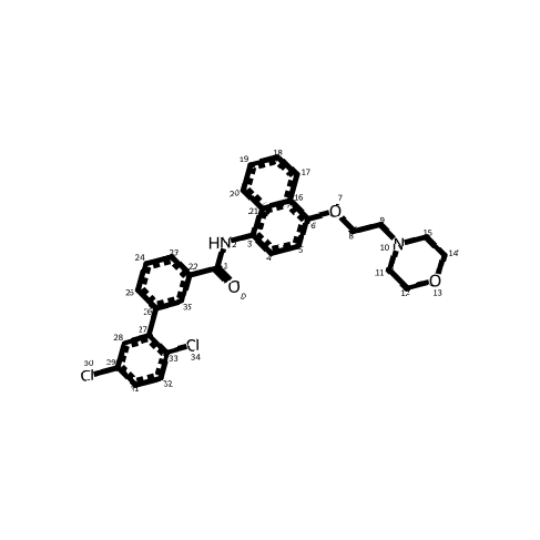 O=C(Nc1ccc(OCCN2CCOCC2)c2ccccc12)c1cccc(-c2cc(Cl)ccc2Cl)c1